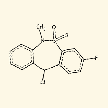 CN1c2ccccc2C(Cl)c2ccc(F)cc2S1(=O)=O